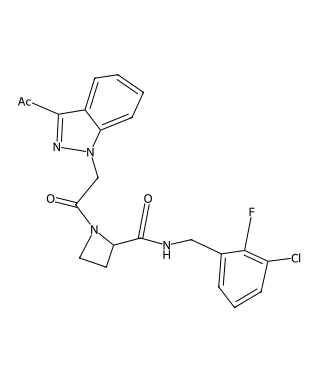 CC(=O)c1nn(CC(=O)N2CCC2C(=O)NCc2cccc(Cl)c2F)c2ccccc12